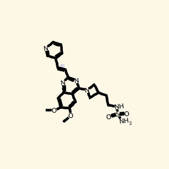 COc1cc2nc(/C=C/c3cccnc3)nc(N3CC(CCNS(N)(=O)=O)C3)c2cc1OC